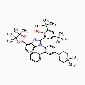 CC(C)(C)c1cc(-c2nc3c(B4OC(C)(C)C(C)(C)O4)cccc3n2-c2ccc(C3CC[Si](C)(C)CC3)cc2-c2ccccc2)c(O)c(C(C)(C)C)c1